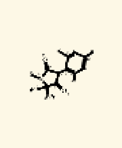 CCCC1(CCC)C(=O)C(c2c(C)cc(C)cc2C)C(=O)N1C